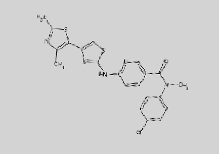 Cc1nc(C)c(-c2csc(Nc3ccc(C(=O)N(C)c4ccc(Cl)cc4)cn3)n2)s1